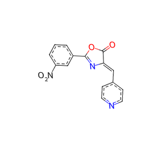 O=C1OC(c2cccc([N+](=O)[O-])c2)=NC1=Cc1ccncc1